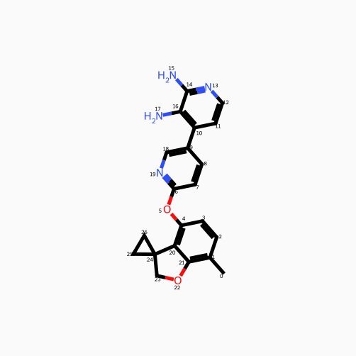 Cc1ccc(Oc2ccc(-c3ccnc(N)c3N)cn2)c2c1OCC21CC1